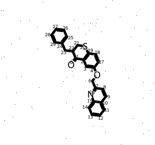 O=C1c2cc(OCc3ccc4ccccc4n3)ccc2SCC1Cc1ccccc1